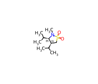 CC(C)[C@@H]1[C@H](C(C)C)CS(=O)(=O)N1C